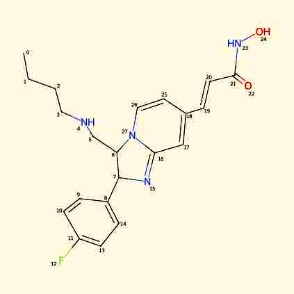 CCCCNCC1C(c2ccc(F)cc2)N=C2C=C(/C=C/C(=O)NO)C=CN21